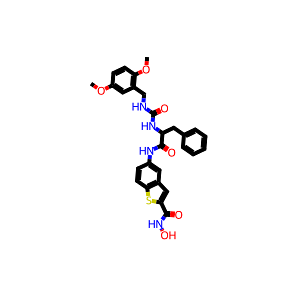 COc1ccc(OC)c(CNC(=O)NC(Cc2ccccc2)C(=O)Nc2ccc3sc(C(=O)NO)cc3c2)c1